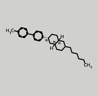 CCCCCCC1CC[C@@H]2C[C@H](c3ccc(-c4ccc(C)cc4)cc3)CC[C@@H]2C1